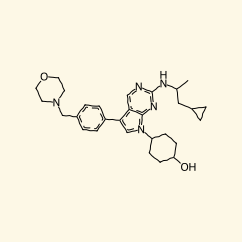 CC(CC1CC1)Nc1ncc2c(-c3ccc(CN4CCOCC4)cc3)cn(C3CCC(O)CC3)c2n1